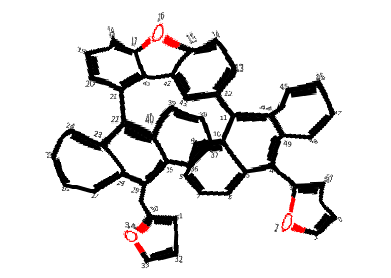 c1coc(-c2c3ccccc3c(-c3ccc4oc5cccc(-c6c7ccccc7c(-c7ccco7)c7ccccc67)c5c4c3)c3ccccc23)c1